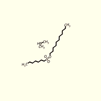 CCCCCCCCCCCOS(=O)(=O)CCCCCCC.CNC